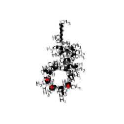 CCCCCCC[C@@H](O)CC(=O)N[C@@H](CC(C)C)C(=O)N[C@H](CCC(O)O)C(=O)N[C@H](C)C(=O)N[C@@H](C(=O)N[C@H](CC(C)C)C(=O)N[C@@H](CCC(N)O)C(=O)N[C@@H]1COC(=O)[C@H]([C@@H](C)CC)NC(=O)[C@@H](CCC(N)=O)NC(=O)[C@H](CC(C)C)NC(=O)[C@H](CC(C)C)NC(=O)[C@@H](CCC(N)=O)NC(=O)C(CC(C)C)NC(=O)[C@@H](C(C)C)NC1=O)C(C)C